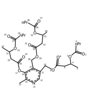 CCCC(=O)OC(C)CC(=O)OCc1cnc(C)c(OC(=O)CC(C)OC(=O)CCC)c1COC(=O)CC(C)OC(=O)CCC